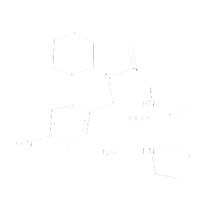 C[C@H](NC(=O)[C@@H]1CCCN1)C(=O)N(C1CCCCC1)[C@H]([C]=O)c1ccc([N+](=O)[O-])cc1[N+](=O)[O-]